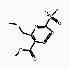 COCc1nc(S(C)(=O)=O)ncc1C(=O)OC